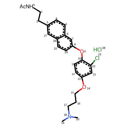 CC(=O)NCCc1ccc2cc(Oc3ccc(OCCCN(C)C)cc3Cl)ccc2c1.Cl